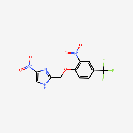 O=[N+]([O-])c1c[nH]c(COc2ccc(C(F)(F)F)cc2[N+](=O)[O-])n1